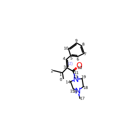 CC(C)/C(=C/c1ccccc1)C(=O)N1CCN(C)CC1